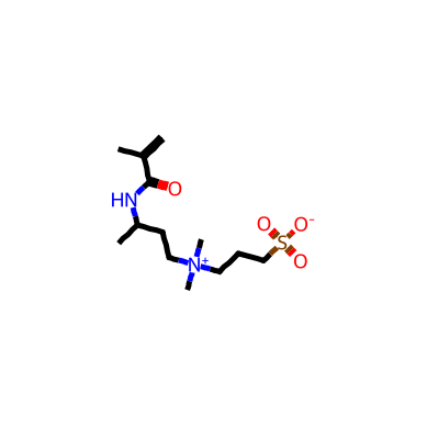 C=C(C)C(=O)NC(C)CC[N+](C)(C)CCCS(=O)(=O)[O-]